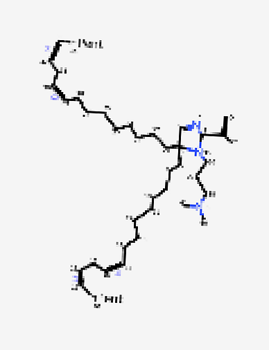 C=C(C)C1N=CC(CCCCCCCC/C=C\C/C=C\CCCCC)(CCCCCCCC/C=C\C/C=C\CCCCC)N1CCCN(C)C